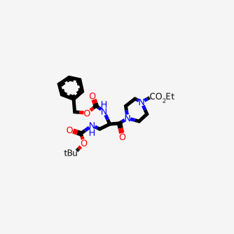 CCOC(=O)N1CCN(C(=O)C(CNC(=O)OC(C)(C)C)NC(=O)OCc2ccccc2)CC1